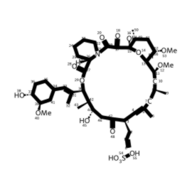 C=CC[C@@H]1/C=C(\C)C[C@H](C)C[C@H](OC)[C@H]2O[C@@](O)(C(=O)C(=O)N3CCCC[C@H]3C(=O)O[C@H](/C(C)=C/C3CC[C@@H](O)[C@H](OC)C3)[C@H](C)[C@@H](O)CC1=O)[C@H](C)C[C@@H]2OC.O=S(=O)(O)O